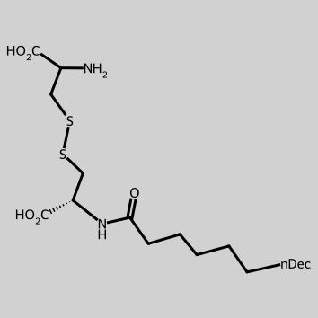 CCCCCCCCCCCCCCCC(=O)N[C@@H](CSSCC(N)C(=O)O)C(=O)O